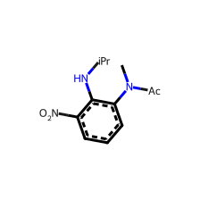 CC(=O)N(C)c1cccc([N+](=O)[O-])c1NC(C)C